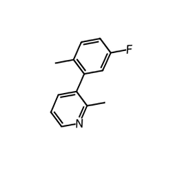 Cc1ccc(F)cc1-c1cccnc1C